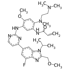 C=CC(=O)Nc1cc(Nc2nccc(-c3cc(F)c4nc(COC)n(C(C)C)c4c3)n2)c(OC)cc1N(C)CCN(C)C